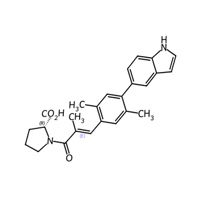 C/C(=C\c1cc(C)c(-c2ccc3[nH]ccc3c2)cc1C)C(=O)N1CCC[C@@H]1C(=O)O